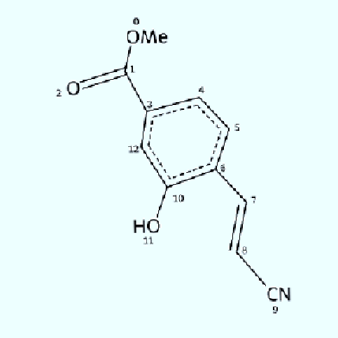 COC(=O)c1ccc(/C=C/C#N)c(O)c1